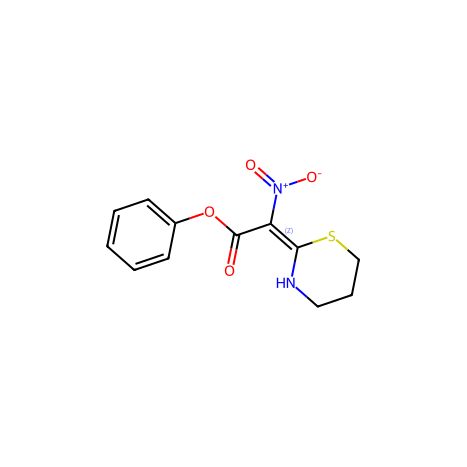 O=C(Oc1ccccc1)/C(=C1\NCCCS1)[N+](=O)[O-]